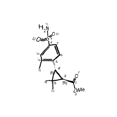 COC(=O)[C@@H]1[C@@H](c2ccc(S(N)(=O)=O)cc2C)C1(C)C